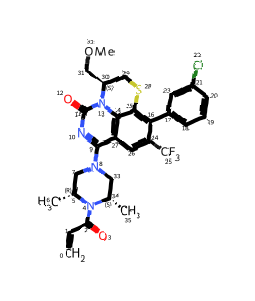 C=CC(=O)N1[C@H](C)CN(c2nc(=O)n3c4c(c(-c5cccc(Cl)c5)c(C(F)(F)F)cc24)SC[C@@H]3COC)C[C@@H]1C